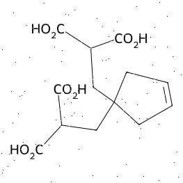 O=C(O)C(CC1(CC(C(=O)O)C(=O)O)CC=CC1)C(=O)O